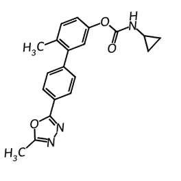 Cc1nnc(-c2ccc(-c3cc(OC(=O)NC4CC4)ccc3C)cc2)o1